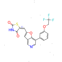 O=C1NC(=O)/C(=C\c2cc3cncc(-c4cccc(OCC(F)(F)F)c4)c3o2)S1